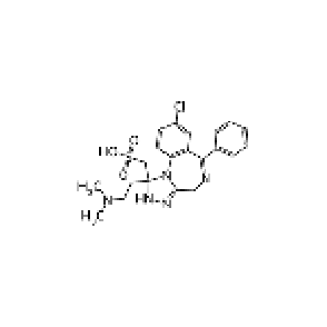 CN(C)CCC1(CS(=O)(=O)O)NN=C2CN=C(c3ccccc3)c3cc(Cl)ccc3N21